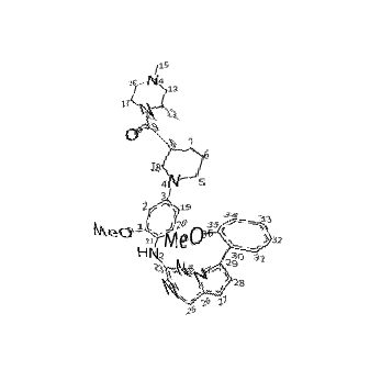 COc1cc(N2CCCC(C(=O)N3CCN(C)CC3)C2)ccc1Nc1ncc2ccc(-c3ccccc3OC)n2n1